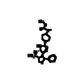 CC[C@H](NC(=O)N1CCC(N(C)C(=O)OC(C)(C)C)CC1)C(=O)N1C(c2ccccc2)SC[C@H]1C(=O)O